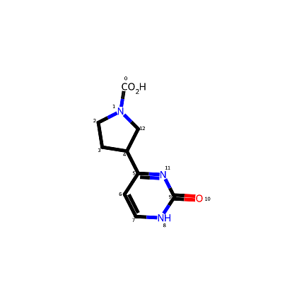 O=C(O)N1CCC(c2cc[nH]c(=O)n2)C1